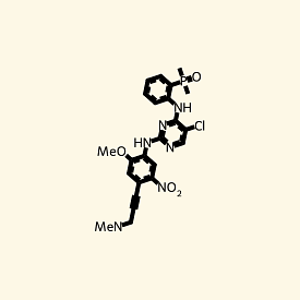 CNCC#Cc1cc(OC)c(Nc2ncc(Cl)c(Nc3ccccc3P(C)(C)=O)n2)cc1[N+](=O)[O-]